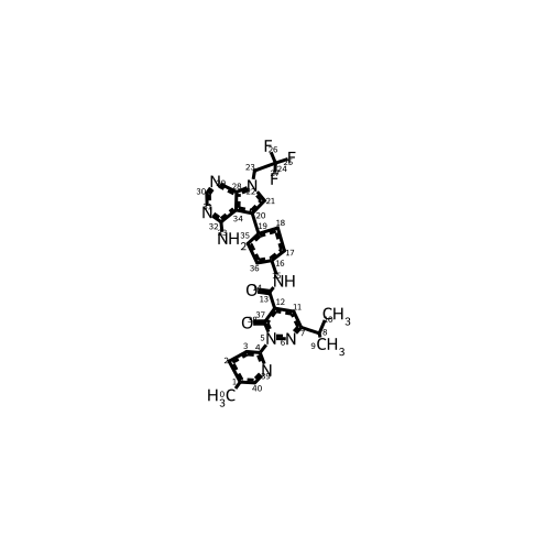 Cc1ccc(-n2nc(C(C)C)cc(C(=O)Nc3ccc(-c4cn(CC(F)(F)F)c5ncnc(N)c45)cc3)c2=O)nc1